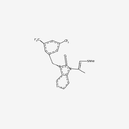 CSC=C(C)n1c(=O)n(Cc2cc(C(F)(F)F)cc(C(F)(F)F)c2)c2ccccc21